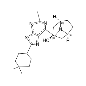 Cc1nc(CN2[C@@H]3CC[C@H]2C[C@@H](O)C3)c2nc(C3CCC(C)(C)CC3)sc2n1